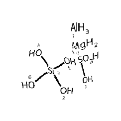 O=S(=O)(O)O.O[Si](O)(O)O.[AlH3].[MgH2]